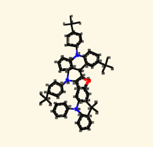 CC(C)(C)c1ccc(N2c3ccc(C(C)(C)C)cc3B3c4oc5cc6c(cc5c4N(c4ccc(C(C)(C)C)cc4)c4cccc2c43)N(c2ccccc2)c2ccccc2C6(C)C)cc1